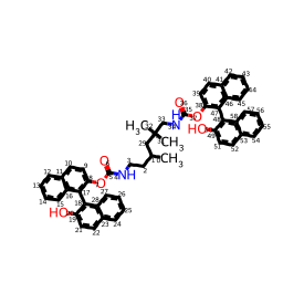 CC(CCNC(=O)Oc1ccc2ccccc2c1-c1c(O)ccc2ccccc12)CC(C)(C)CNC(=O)Oc1ccc2ccccc2c1-c1c(O)ccc2ccccc12